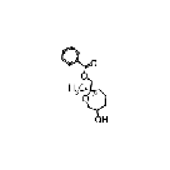 C[C@@]1(COC(=O)c2ccccc2)CCCC(O)CO1